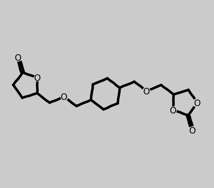 O=C1CCC(COCC2CCC(COCC3COC(=O)O3)CC2)O1